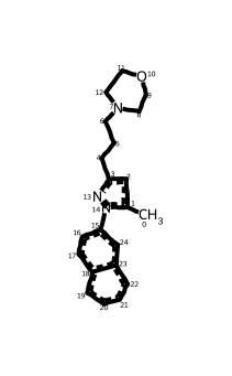 Cc1cc(CCCN2CCOCC2)nn1-c1ccc2ccccc2c1